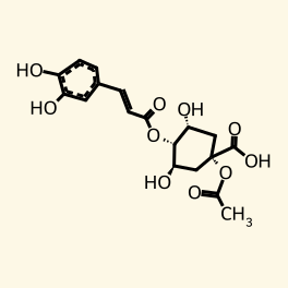 CC(=O)O[C@]1(C(=O)O)C[C@@H](O)[C@H](OC(=O)/C=C/c2ccc(O)c(O)c2)[C@H](O)C1